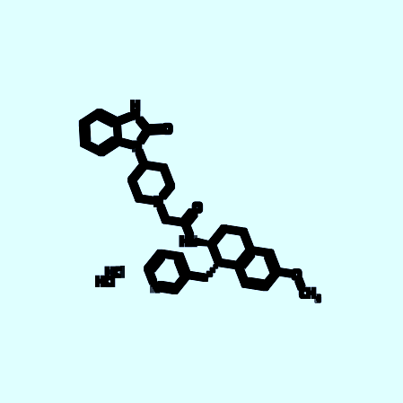 COc1ccc2c(c1)CC[C@H](NC(=O)CN1CCC(n3c(=O)[nH]c4ccccc43)CC1)[C@H]2Cc1cccnc1.Cl.Cl